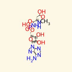 CN[C@@H](CC(=O)O)C(=O)NP(=O)(O)OC[C@H]1O[C@@H](n2cnc3c(N)ncnc32)[C@H](O)[C@@H]1O